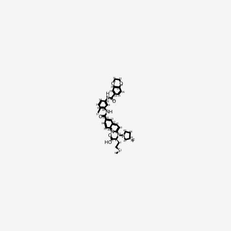 CSCC[C@@H](C(=O)O)N(c1ccc2cc(C(=O)Nc3cc(NC(=O)c4ccc5c(c4)OCCO5)ccc3C)ccc2n1)N1CC[C@H](F)C1